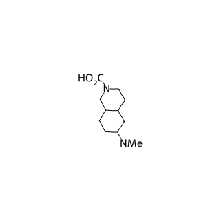 CNC1CCC2CN(C(=O)O)CCC2C1